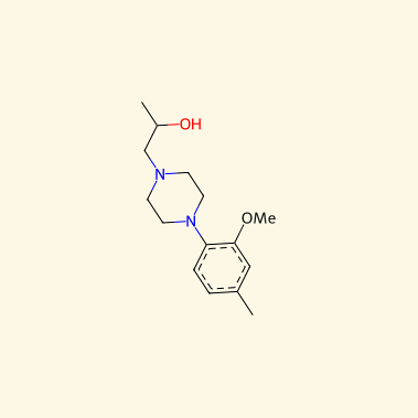 COc1cc(C)ccc1N1CCN(CC(C)O)CC1